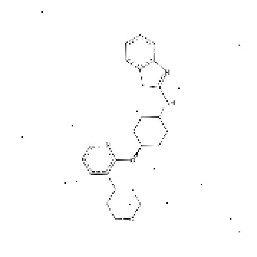 c1ccc2c(c1)CC(N[C@H]1CC[C@H](Oc3ncccc3C3CCOCC3)CC1)=N2